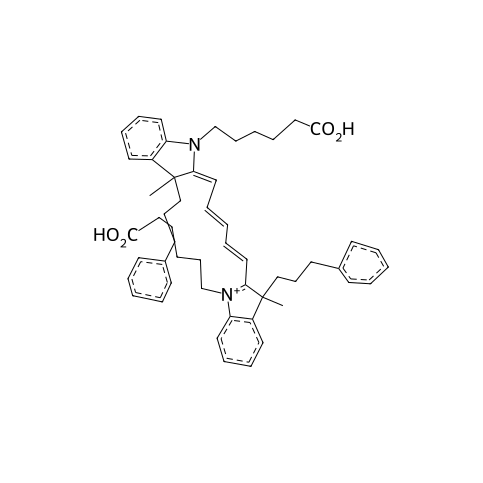 CC1(CCCc2ccccc2)C(/C=C/C=C/C=C2/N(CCCCCC(=O)O)c3ccccc3C2(C)CCCc2ccccc2)=[N+](CCCCCC(=O)O)c2ccccc21